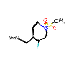 CNCC1CCN(S(C)(=O)=O)CC1F